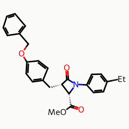 CCc1ccc(N2C(=O)[C@@H](Cc3ccc(OCc4ccccc4)cc3)[C@H]2C(=O)OC)cc1